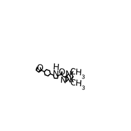 Cc1cc(C)n2cnc(C(=O)C3CCC(C4CCC(c5ccco5)CC4)N3)c2n1